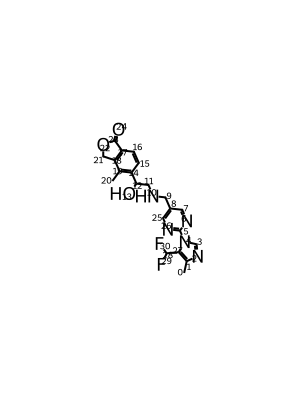 Cc1ncn(-c2ncc(CNCC(O)c3ccc4c(c3C)COC4=O)cn2)c1C(F)F